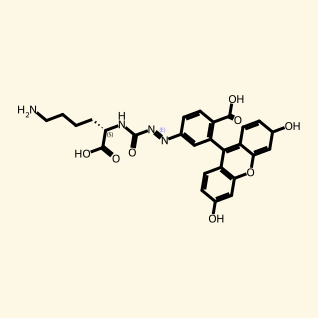 NCCCC[C@H](NC(=O)/N=N/c1ccc(C(=O)O)c(C2=C3C=CC(O)C=C3Oc3cc(O)ccc32)c1)C(=O)O